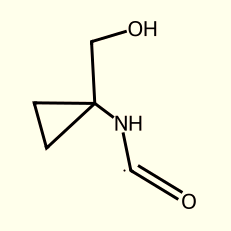 O=[C]NC1(CO)CC1